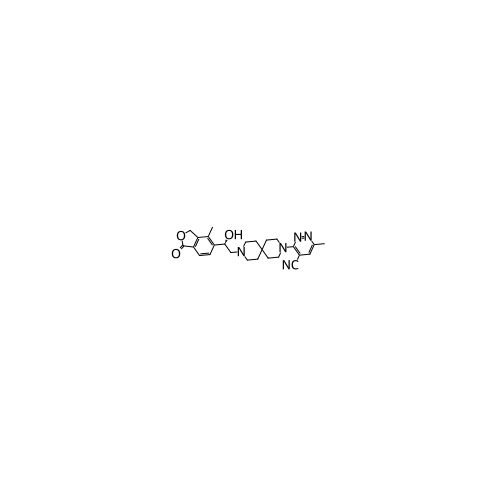 Cc1cc(C#N)c(N2CCC3(CCN(C[C@H](O)c4ccc5c(c4C)COC5=O)CC3)CC2)nn1